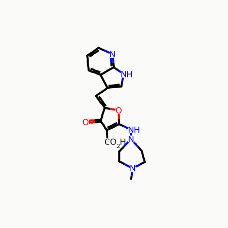 CN1CCN(NC2=C(C(=O)O)C(=O)/C(=C/c3c[nH]c4ncccc34)O2)CC1